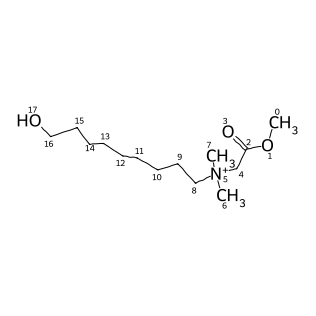 COC(=O)C[N+](C)(C)CCCCCCCCCO